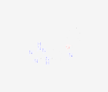 c1cc2cc(Nc3n[nH]c4nccnc34)ccc2c(OCC2CCCCC2)n1